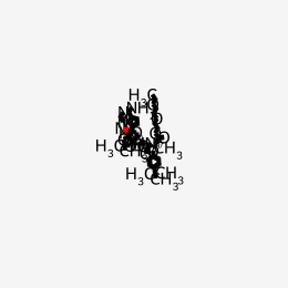 CCOCCOCCOC(=O)[C@H](C)NP(=O)(OC[C@H]1O[C@@](C#N)(c2ccc3c(N)ncnn23)[C@@H]2OC(C)(C)O[C@@H]21)Oc1ccc(C(C)(C)C)cc1